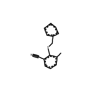 Cc1cccc(C#N)c1SCc1ccccc1